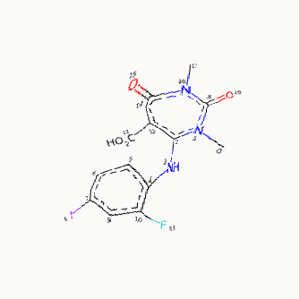 Cn1c(Nc2ccc(I)cc2F)c(C(=O)O)c(=O)n(C)c1=O